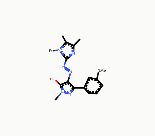 CCn1c(N=Nc2c(-c3cccc(NC)c3)nn(C)c2O)nc(C)c1C